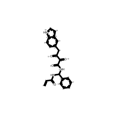 C=CC(=O)NC(NC(=O)C(=O)C(=O)Cc1ccc2[nH]ccc2c1)c1ccccc1